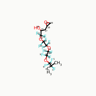 CC(C)(F)C(F)(F)OC(F)(F)C(F)(F)OC(F)(F)C(F)(F)OC(F)(F)C(O)CC1CO1